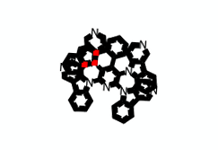 c1ccc(-c2c(-n3c4ccccc4c4cnccc43)c(-n3c4ccccc4c4cnccc43)nc(-n3c4ccccc4c4cnccc43)c2-n2c3ccccc3c3cnccc32)c(-c2ccncc2)c1